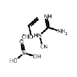 C=CC=O.N#CNC(=N)N.O=[Si](O)O